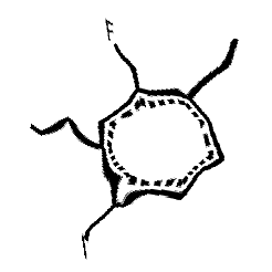 Cc1ccc(I)c(C)c1F